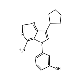 Nc1ncnc2c(C3CCCC3)cn(-c3cccc(O)c3)c12